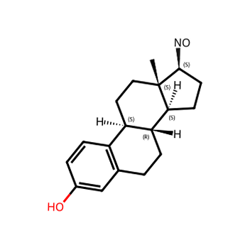 C[C@]12CC[C@@H]3c4ccc(O)cc4CC[C@H]3[C@@H]1CC[C@@H]2N=O